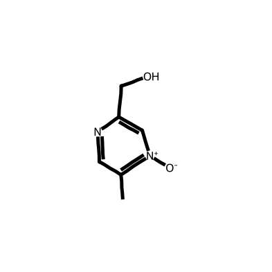 Cc1cnc(CO)c[n+]1[O-]